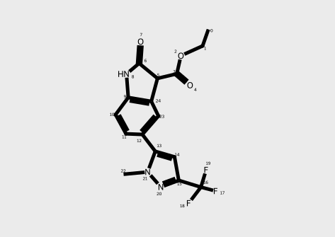 CCOC(=O)C1C(=O)Nc2ccc(-c3cc(C(F)(F)F)nn3C)cc21